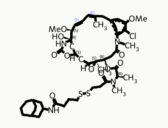 COc1cc2cc(c1Cl)N(C)C(=O)C[C@@H](OC(=O)[C@@H](C)N(C)C(=O)CCSSCCCC(=O)NC1CC3CCCC(CC3)C1)[C@@]1(C)O[C@@H]1C[C@H]1C[C@](O)(NC(=O)O1)[C@@H](OC)/C=C/C=C(\C)C2